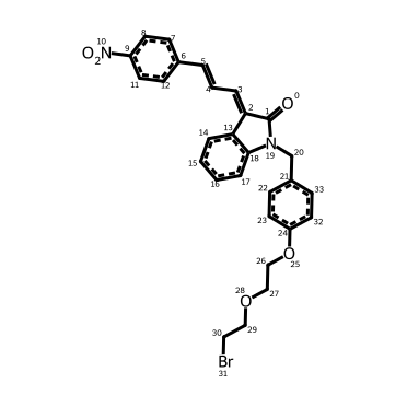 O=C1/C(=C/C=C/c2ccc([N+](=O)[O-])cc2)c2ccccc2N1Cc1ccc(OCCOCCBr)cc1